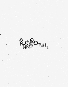 CN([C]1CCC1)c1ncnc2c1ccn2S(=O)(=O)c1ccc(CN)cc1